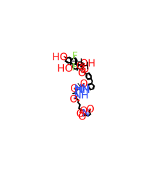 CC(NC(=O)CCCCC(=O)ON1C(=O)CCC1=O)C(=O)N[C@@H](C)C(=O)Nc1cccc(Cc2ccc(C3O[C@@H]4C[C@H]5[C@@H]6C[C@H](F)C7=CC(O)C=CC7(C)[C@@]6(F)C(O)CC5(C)[C@]4(C(=O)CO)O3)cc2)c1